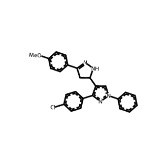 COc1ccc(C2=NNC(c3cn(-c4ccccc4)nc3-c3ccc(Cl)cc3)C2)cc1